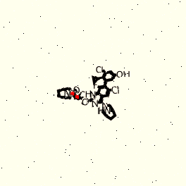 CN=S1(=O)CC2CCC(C1)N2CCCOc1nc(N2CC3CCC(C2)N3)c2cc(Cl)c(-c3cc(O)cc(Cl)c3C3CC3)c(F)c2n1